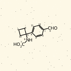 O=Cc1ccc(C2(NC(=O)O)CCC2)cc1